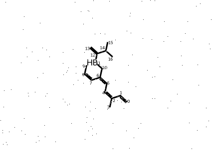 C=C\C(C)=C/C=C(\C=C/C)CBC(=C)C(C)C